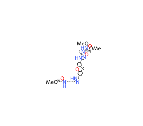 COC(=O)N[C@H](C(=O)N1CCC[C@H]1c1ncc(-c2ccc3c(c2)C(C)(C)c2ccc(C4CN=C(CCCCNC(=O)C[C@@H](C)OC)N4)cc2O3)[nH]1)[C@@H](C)OC